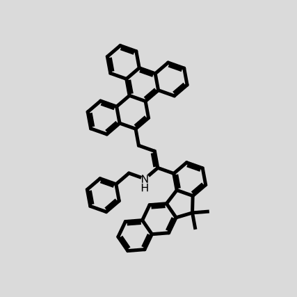 CC1(C)c2cc3ccccc3cc2-c2c(/C(=C/Cc3cc4c5ccccc5c5ccccc5c4c4ccccc34)NCc3ccccc3)cccc21